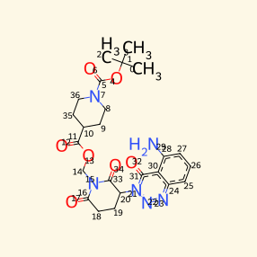 CC(C)(C)OC(=O)N1CCC(C(=O)OCN2C(=O)CCC(n3nnc4cccc(N)c4c3=O)C2=O)CC1